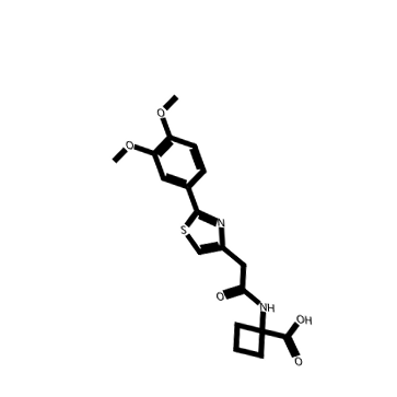 COc1ccc(-c2nc(CC(=O)NC3(C(=O)O)CCC3)cs2)cc1OC